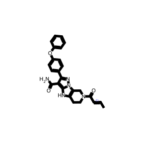 C/C=C/C(=O)N1CCc2[nH]c3c(C(N)=O)c(-c4ccc(Oc5ccccc5)cc4)nn3c2C1